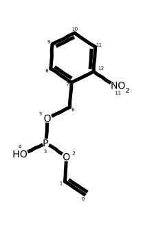 C=COP(O)OCc1ccccc1[N+](=O)[O-]